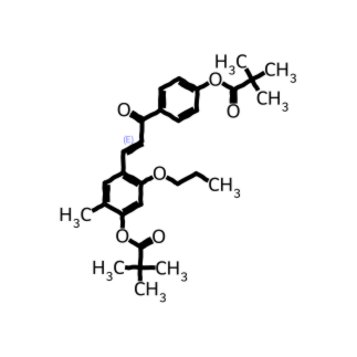 CCCOc1cc(OC(=O)C(C)(C)C)c(C)cc1/C=C/C(=O)c1ccc(OC(=O)C(C)(C)C)cc1